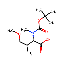 COC[C@H](C)[C@@H](C(=O)O)N(C)C(=O)OC(C)(C)C